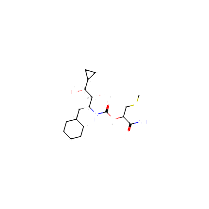 CSCC(OC(=O)N[C@@H](CC1CCCCC1)[C@@H](O)[C@@H](O)C1CC1)C(N)=O